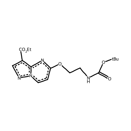 CCOC(=O)c1cnn2ccc(OCCNC(=O)OC(C)(C)C)nc12